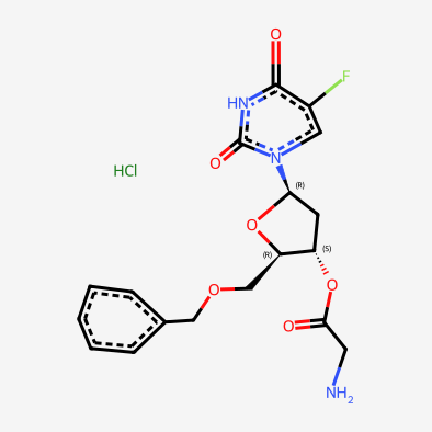 Cl.NCC(=O)O[C@H]1C[C@H](n2cc(F)c(=O)[nH]c2=O)O[C@@H]1COCc1ccccc1